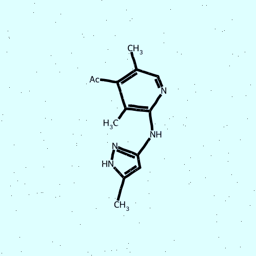 CC(=O)c1c(C)cnc(Nc2cc(C)[nH]n2)c1C